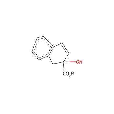 O=C(O)C1(O)C=Cc2ccccc2C1